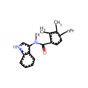 CCCc1ccc(C(=O)N(CC)c2c[nH]c3ccccc23)c(C)c1C